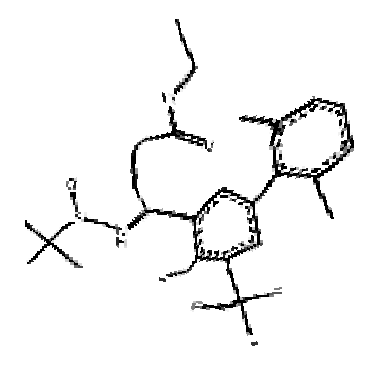 CCOC(=O)C[C@H](N[S@+]([O-])C(C)(C)C)c1cc(-c2c(C)cccc2C)cc(C(F)(F)F)c1F